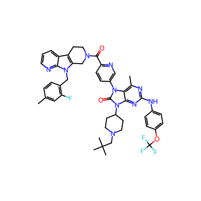 Cc1ccc(Cn2c3c(c4cccnc42)CCN(C(=O)c2ccc(-n4c(=O)n(C5CCN(CC(C)(C)C)CC5)c5nc(Nc6ccc(OC(F)(F)F)cc6)nc(C)c54)cn2)C3)c(F)c1